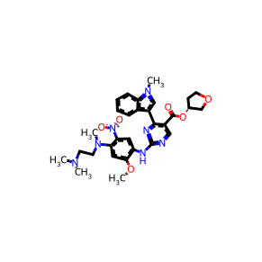 COc1cc(N(C)CCN(C)C)c([N+](=O)[O-])cc1Nc1ncc(C(=O)O[C@@H]2CCOC2)c(-c2cn(C)c3ccccc23)n1